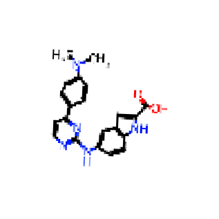 CN(C)c1ccc(-c2ccnc(Nc3ccc4[nH]c(C(=O)O)cc4c3)n2)cc1